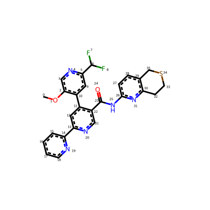 COc1cnc(C(F)F)cc1-c1cc(-c2ccccn2)ncc1C(=O)Nc1ccc2c(n1)CCSC2